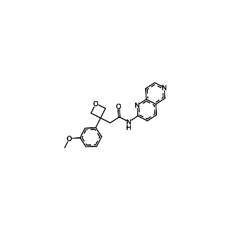 COc1cccc(C2(CC(=O)Nc3ccc4cnccc4n3)COC2)c1